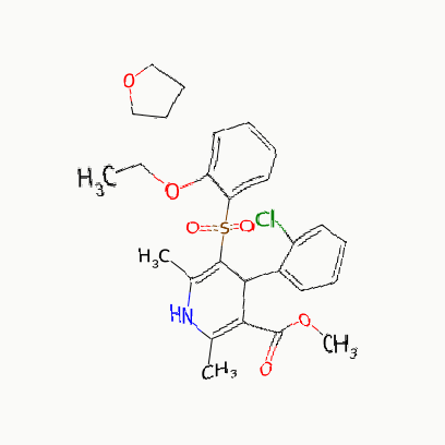 C1CCOC1.CCOc1ccccc1S(=O)(=O)C1=C(C)NC(C)=C(C(=O)OC)C1c1ccccc1Cl